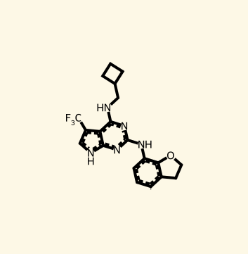 FC(F)(F)c1c[nH]c2nc(Nc3cc[c]c4c3OCC4)nc(NCC3CCC3)c12